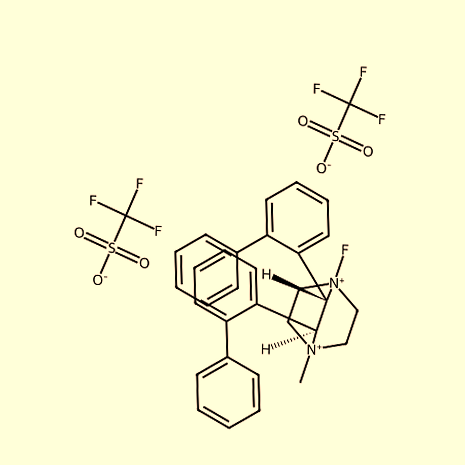 C[N+]12CC[N+](F)(CC1)[C@@H](c1ccccc1-c1ccccc1)[C@@H]2c1ccccc1-c1ccccc1.O=S(=O)([O-])C(F)(F)F.O=S(=O)([O-])C(F)(F)F